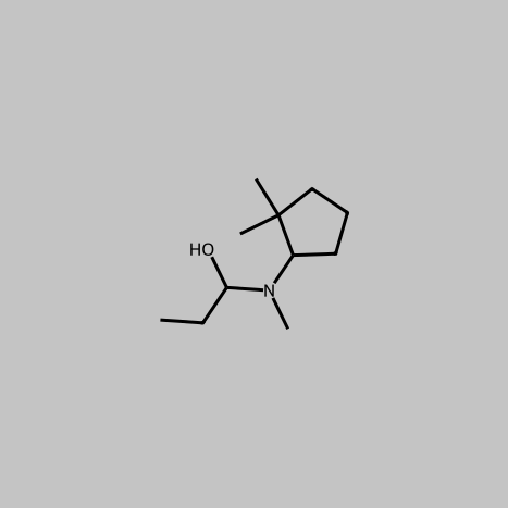 CCC(O)N(C)C1CCCC1(C)C